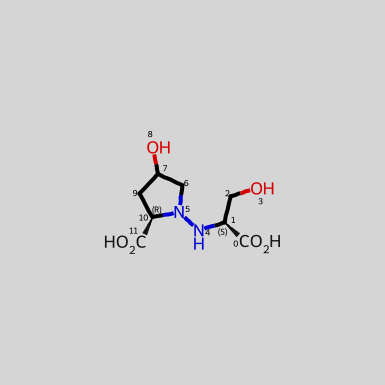 O=C(O)[C@H](CO)NN1CC(O)C[C@@H]1C(=O)O